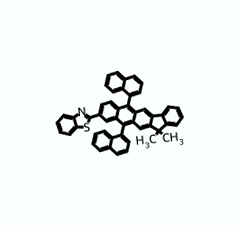 CC1(C)c2ccccc2-c2cc3c(-c4cccc5ccccc45)c4ccc(-c5nc6ccccc6s5)cc4c(-c4cccc5ccccc45)c3cc21